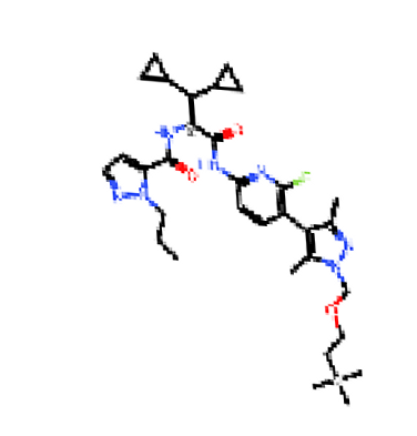 CCCn1nccc1C(=O)N[C@H](C(=O)Nc1ccc(-c2c(C)nn(COCC[Si](C)(C)C)c2C)c(F)n1)C(C1CC1)C1CC1